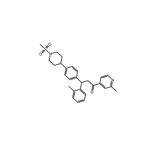 Cc1cc(C(=O)CC(c2ccc(N3CCN(S(C)(=O)=O)CC3)cc2)c2ccccc2C)ccn1